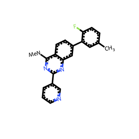 CNc1nc(-c2cccnc2)nc2cc(-c3cc(C)ccc3F)ccc12